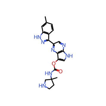 Cc1ccc2c(-c3cnc4[nH]cc(OC(=O)NC5(C)CCNC5)c4n3)n[nH]c2c1